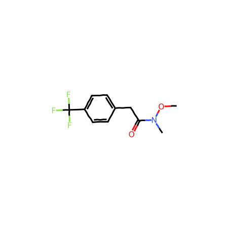 CON(C)C(=O)Cc1ccc(C(F)(F)F)cc1